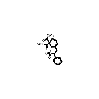 COC(=O)C1(C(=O)OC)C=CC=C(CC(c2ccccc2)S(=O)(=O)Cl)C1